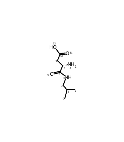 CC(C)CNC(=O)[C@@H](N)CC(=O)O